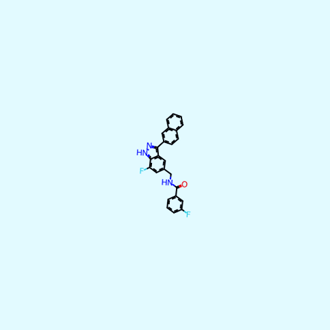 O=C(NCc1cc(F)c2[nH]nc(-c3ccc4ccccc4c3)c2c1)c1cccc(F)c1